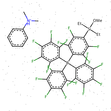 CC[Si](CC)(OC)c1c(F)c(F)c([B-](c2c(F)c(F)c(F)c(F)c2F)(c2c(F)c(F)c(F)c(F)c2F)c2c(F)c(F)c(F)c(F)c2F)c(F)c1F.C[NH+](C)c1ccccc1